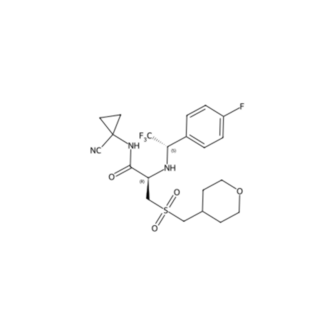 N#CC1(NC(=O)[C@H](CS(=O)(=O)CC2CCOCC2)N[C@@H](c2ccc(F)cc2)C(F)(F)F)CC1